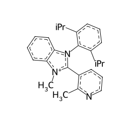 Cc1ncccc1-c1n(-c2c(C(C)C)cccc2C(C)C)c2ccccc2[n+]1C